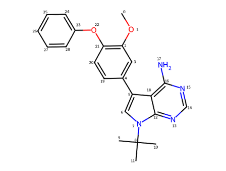 COc1cc(-c2cn(C(C)(C)C)c3ncnc(N)c23)ccc1Oc1ccccc1